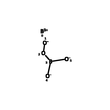 [B+3].[O-]OB([O-])[O-]